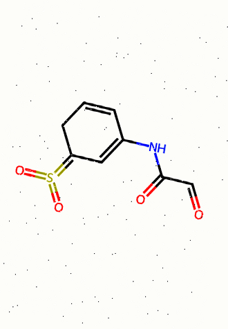 O=CC(=O)NC1=CC(=S(=O)=O)CC=C1